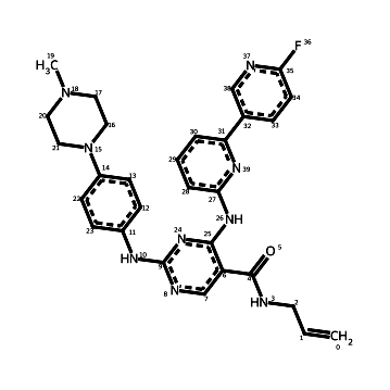 C=CCNC(=O)c1cnc(Nc2ccc(N3CCN(C)CC3)cc2)nc1Nc1cccc(-c2ccc(F)nc2)n1